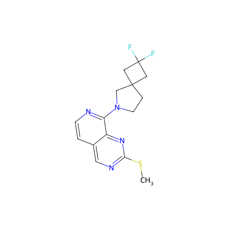 CSc1ncc2ccnc(N3CCC4(C3)CC(F)(F)C4)c2n1